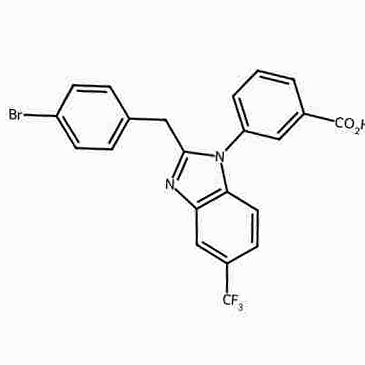 O=C(O)c1cccc(-n2c(Cc3ccc(Br)cc3)nc3cc(C(F)(F)F)ccc32)c1